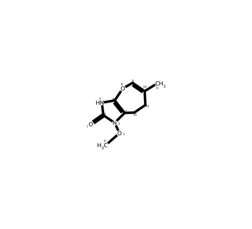 COn1c2c([nH]c1=O)OC=C(C)CC2